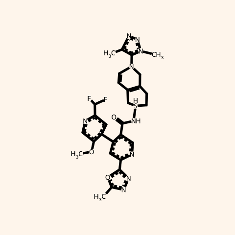 COc1cnc(C(F)F)cc1-c1cc(-c2nnc(C)o2)ncc1C(=O)N[SH]1CCC2=C(C=CN(c3c(C)nnn3C)C2)C1